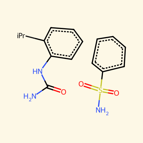 CC(C)c1ccccc1NC(N)=O.NS(=O)(=O)c1ccccc1